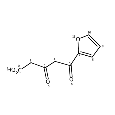 O=C(O)CC(=O)CC(=O)c1ccco1